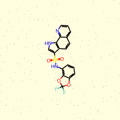 O=S(=O)(Nc1cccc2c1OC(F)(F)O2)c1c[nH]c2c1ccc1cccnc12